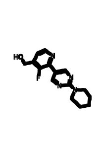 OCc1ccnc(-c2cnc(N3CCCCC3)nc2)c1F